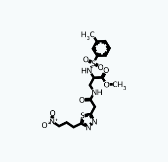 COC(=O)C(CNC(=O)Cc1nnc(CCC[N+](=O)[O-])s1)NS(=O)(=O)c1cccc(C)c1